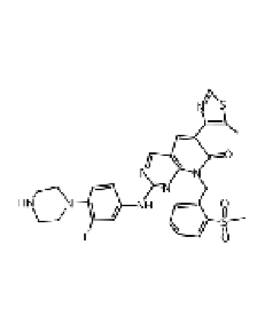 Cc1scnc1-c1cc2cnc(Nc3ccc(N4CCNCC4)c(F)c3)nc2n(Cc2ccccc2S(C)(=O)=O)c1=O